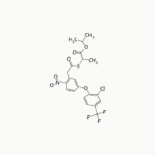 CC(C)OC(=O)C(C)SC(=O)Cc1cc(Oc2ccc(C(F)(F)F)cc2Cl)ccc1[N+](=O)[O-]